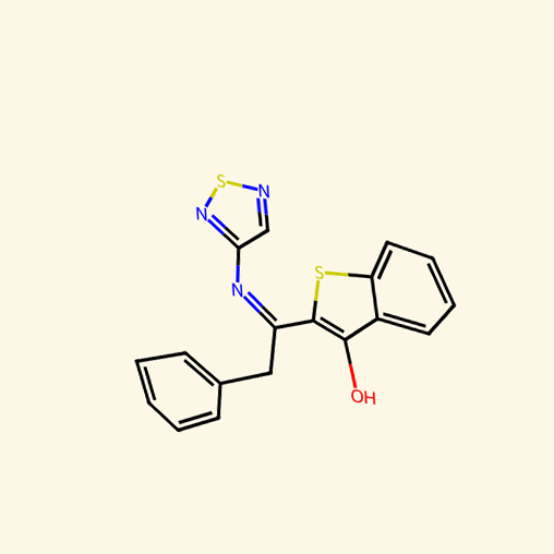 Oc1c(C(Cc2ccccc2)=Nc2cnsn2)sc2ccccc12